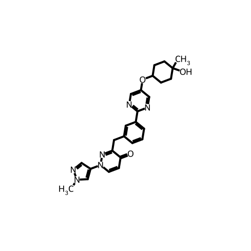 Cn1cc(-n2ccc(=O)c(Cc3cccc(-c4ncc(OC5CCC(C)(O)CC5)cn4)c3)n2)cn1